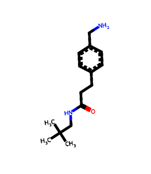 CC(C)(C)CNC(=O)CCc1ccc(CN)cc1